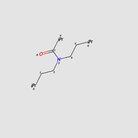 CC(C)CCN(CCC(C)C)C(=O)C(C)C